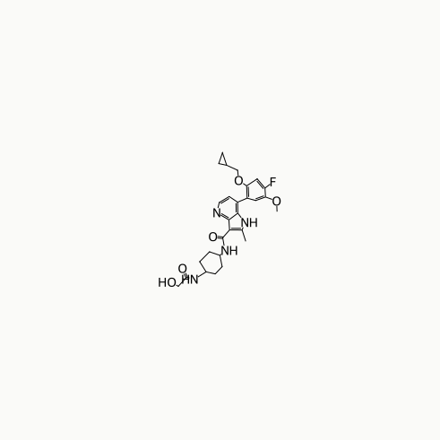 COc1cc(-c2ccnc3c(C(=O)NC4CCC(NC(=O)CO)CC4)c(C)[nH]c23)c(OCC2CC2)cc1F